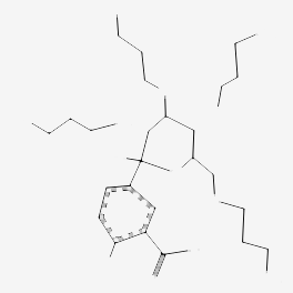 CCCCOCC1OC(O)(c2ccc(Cl)c(C(=O)O)c2)[C@H](OCCCC)C(OCCCC)[C@@H]1OCCCC